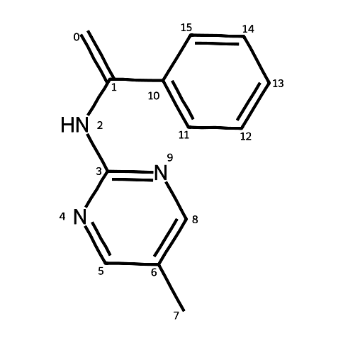 C=C(Nc1ncc(C)cn1)c1ccccc1